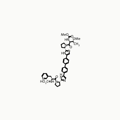 COC(=O)N[C@H](C(=O)N1CCC[C@H]1c1ncc(-c2ccc(-c3ccc(-c4cnc([C@@H]5CCCN5C(=O)[C@H](Cc5cccnc5)NC(=O)O)[nH]4)cc3)cc2)[nH]1)[C@@H](C)OC